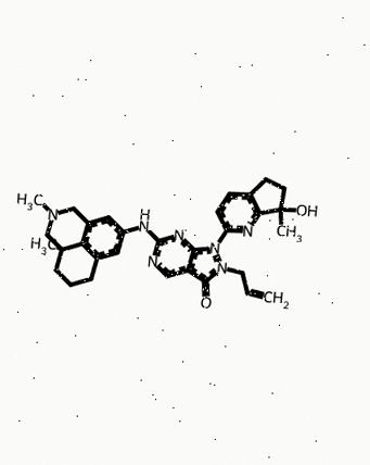 C=CCn1c(=O)c2cnc(Nc3cc4c5c(c3)CN(C)CC5(C)CCC4)nc2n1-c1ccc2c(n1)C(C)(O)CC2